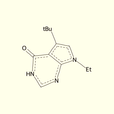 CCn1cc(C(C)(C)C)c2c(=O)[nH]cnc21